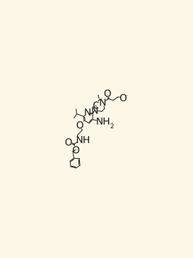 COCCC(=O)N1CCN(c2nc(C(C)C)c(OCCNC(=O)OCc3ccccc3)cc2N)C[C@H]1C